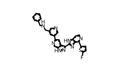 Fc1ccc(-c2nccc3[nH]c(-c4n[nH]c5cnc(-c6cncc(CNCc7ccccc7)c6)cc45)nc23)s1